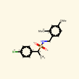 COc1ccc(CNS(=O)(=O)C(C)c2ccc(Br)cc2)c(OC)c1